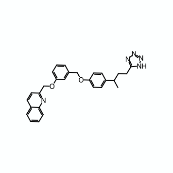 CC(CCc1nnn[nH]1)c1ccc(OCc2cccc(OCc3ccc4ccccc4n3)c2)cc1